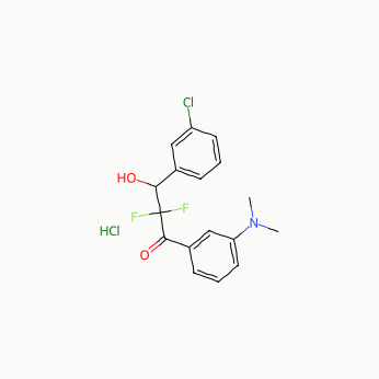 CN(C)c1cccc(C(=O)C(F)(F)C(O)c2cccc(Cl)c2)c1.Cl